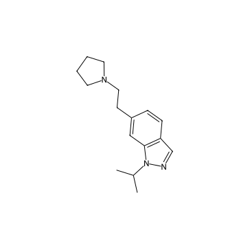 CC(C)n1ncc2ccc(CCN3CCCC3)cc21